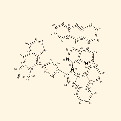 c1ccc2c(-c3ccc(-c4nc5c6ccccc6c6ccccc6c5n4-c4ncc(-c5c6ccccc6cc6ccccc56)c5cccnc45)cc3)c3ccccc3cc2c1